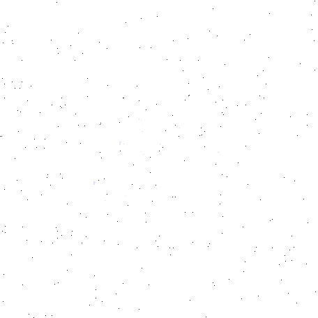 CC(NC(=O)N1CCN(C)CC1)c1cnn2c(NC3CCc4[nH]c5ccccc5c4C3)nc(-c3cncc(F)c3)nc12